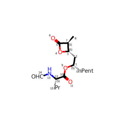 CCCCC[C@@H](C[C@@H]1OC(=O)[C@H]1C)OC(=O)[C@@H](NC=O)C(C)C